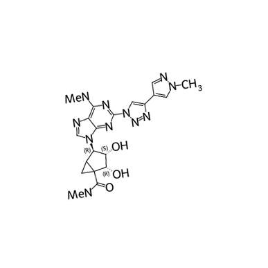 CNC(=O)C12CC1[C@@H](n1cnc3c(NC)nc(-n4cc(-c5cnn(C)c5)nn4)nc31)[C@H](O)[C@@H]2O